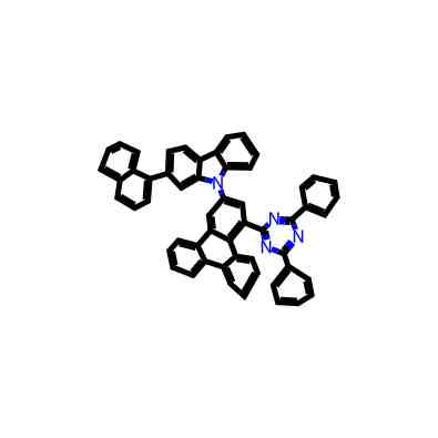 c1ccc(-c2nc(-c3ccccc3)nc(-c3cc(-n4c5ccccc5c5ccc(-c6cccc7ccccc67)cc54)cc4c5ccccc5c5ccccc5c34)n2)cc1